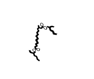 CCCCC(CC)COC(=O)CCCCCCCCCCCC(C)CC(=O)OCC(CC)CCCC